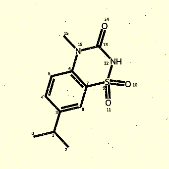 CC(C)c1ccc2c(c1)S(=O)(=O)NC(=O)N2C